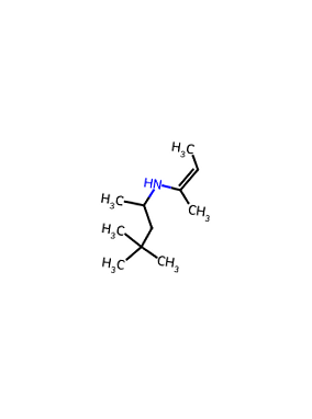 CC=C(C)NC(C)CC(C)(C)C